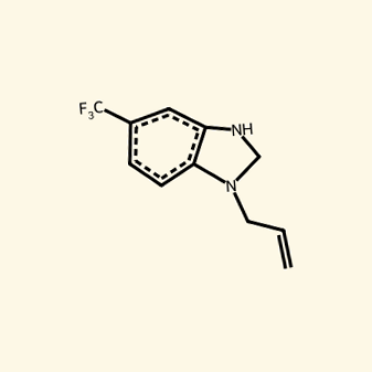 C=CCN1CNc2cc(C(F)(F)F)ccc21